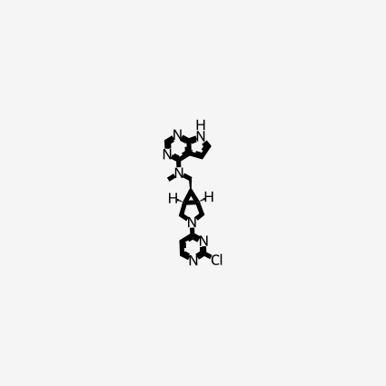 CN(C[C@H]1[C@H]2CN(c3ccnc(Cl)n3)C[C@@H]12)c1ncnc2[nH]ccc12